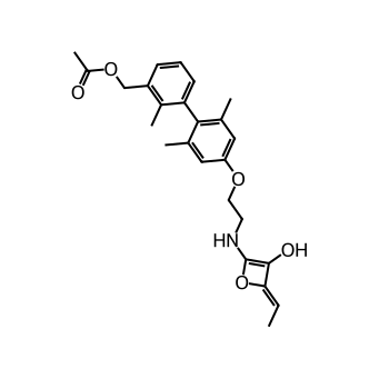 C/C=C1\OC(NCCOc2cc(C)c(-c3cccc(COC(C)=O)c3C)c(C)c2)=C1O